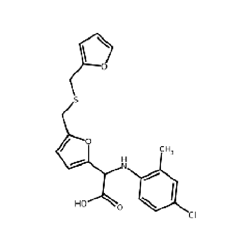 Cc1cc(Cl)ccc1NC(C(=O)O)c1ccc(CSCc2ccco2)o1